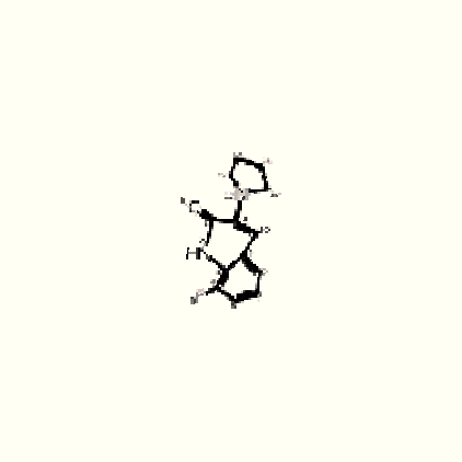 O=c1[nH]c2c(F)cccc2cc1N1CCCC1